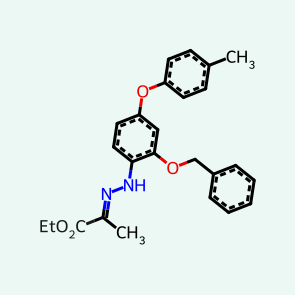 CCOC(=O)C(C)=NNc1ccc(Oc2ccc(C)cc2)cc1OCc1ccccc1